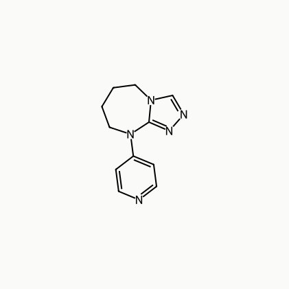 c1cc(N2CCCCn3cnnc32)ccn1